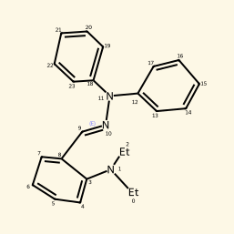 CCN(CC)c1ccccc1/C=N/N(c1ccccc1)c1ccccc1